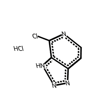 Cl.Clc1nccc2nn[nH]c12